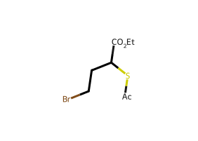 CCOC(=O)C(CCBr)SC(C)=O